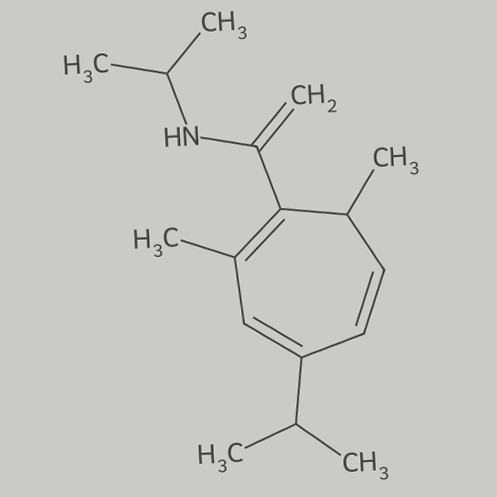 C=C(NC(C)C)C1=C(C)C=C(C(C)C)C=CC1C